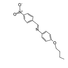 CCCCOc1ccc(N=Cc2ccc([N+](=O)[O-])cc2)cc1